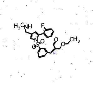 CCOC/C(C=O)=C/c1cccc(S(=O)(=O)n2cc(CNC)cc2-c2ccccc2F)c1